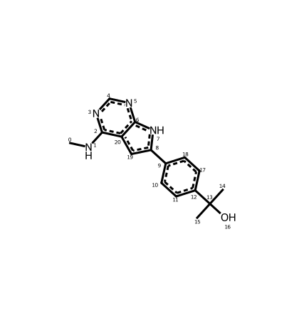 CNc1ncnc2[nH]c(-c3ccc(C(C)(C)O)cc3)cc12